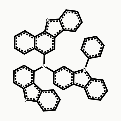 c1ccc(-n2c3ccccc3c3ccc(N(c4cc5c6ccccc6oc5c5ccccc45)c4cccc5sc6ccccc6c45)cc32)cc1